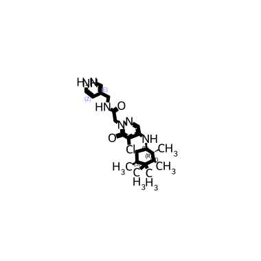 C[C@@H]1[C@@H](C)C(C)(C)[C@@H](C)C[C@H]1Nc1cnn(CC(=O)NCC(/C=C\N)=C/N)c(=O)c1Cl